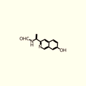 C=C(NC=O)c1cc2ccc(O)cc2cn1